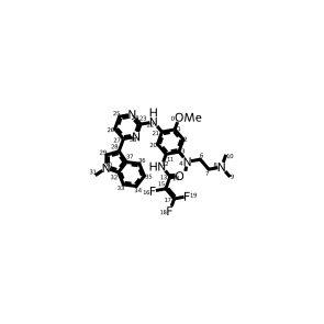 COc1cc(N(C)CCN(C)C)c(NC(=O)C(F)=C(F)F)cc1Nc1nccc(-c2cn(C)c3ccccc23)n1